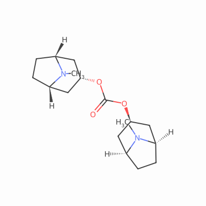 CN1[C@@H]2CC[C@H]1C[C@@H](OC(=O)O[C@H]1C[C@H]3CC[C@@H](C1)N3C)C2